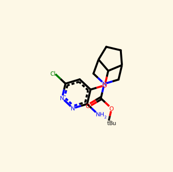 CC(C)(C)OC(=O)N1CC2CCC(C1)C2Oc1cc(Cl)nnc1N